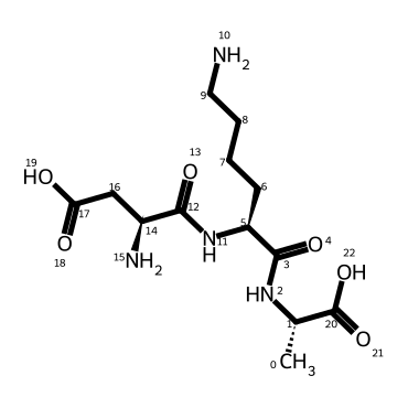 C[C@H](NC(=O)[C@H](CCCCN)NC(=O)[C@@H](N)CC(=O)O)C(=O)O